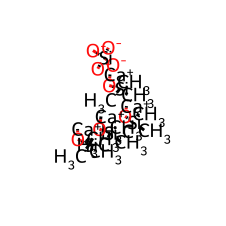 C[Si](C)(C)[O][Ca+].C[Si](C)(C)[O][Ca+].C[Si](C)(C)[O][Ca+].C[Si](C)(C)[O][Ca+].[O-][Si]([O-])([O-])[O-]